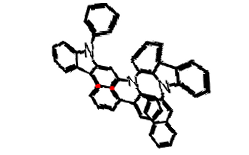 c1ccc(-c2ccccc2N(c2ccc3c4ccccc4n(-c4ccccc4)c3c2)c2cccc3c4ccccc4n(-c4ccc5ccccc5c4)c23)cc1